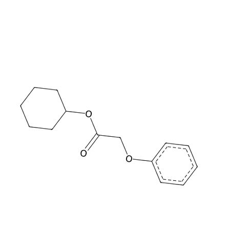 O=C(COc1ccccc1)OC1CCCCC1